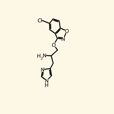 NC(COc1noc2ccc(Cl)cc12)Cc1c[nH]cn1